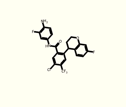 Nc1ccc(NC(=O)c2cc(Cl)c(C(F)(F)F)cc2C2CCOc3cc(F)ccc32)cc1F